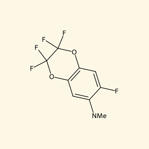 CNc1cc2c(cc1F)OC(F)(F)C(F)(F)O2